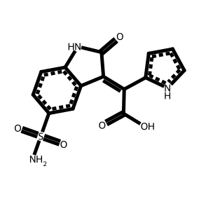 NS(=O)(=O)c1ccc2c(c1)C(=C(C(=O)O)c1ccc[nH]1)C(=O)N2